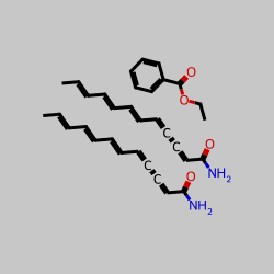 CC=CC=CC=CC=C=C=CC(N)=O.CC=CC=CC=CC=C=C=CC(N)=O.CCOC(=O)c1ccccc1